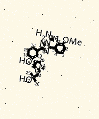 COc1cccc2c1nc(N)n1nc(C3CCCC(O)(c4cnn(CC(C)(C)O)c4)C3)nc21